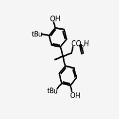 C=C.CC(C)(C)c1cc(C(C)(CC(=O)O)c2ccc(O)c(C(C)(C)C)c2)ccc1O